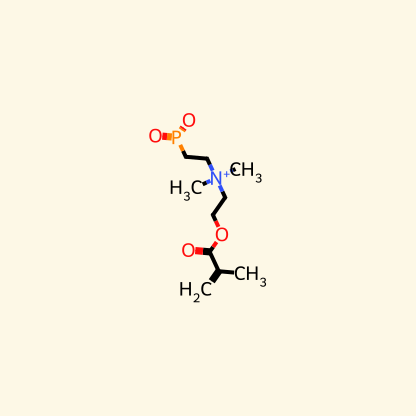 C=C(C)C(=O)OCC[N+](C)(C)CCP(=O)=O